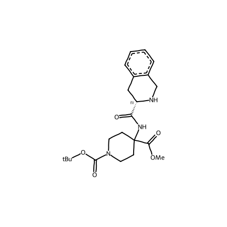 COC(=O)C1(NC(=O)[C@@H]2Cc3ccccc3CN2)CCN(C(=O)OC(C)(C)C)CC1